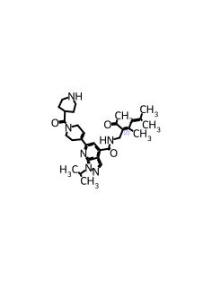 CC(=O)/C(CNC(=O)c1cc(C2=CCN(C(=O)C3CCNCC3)CC2)nc2c1cnn2C(C)C)=C(/C)C=C(C)C